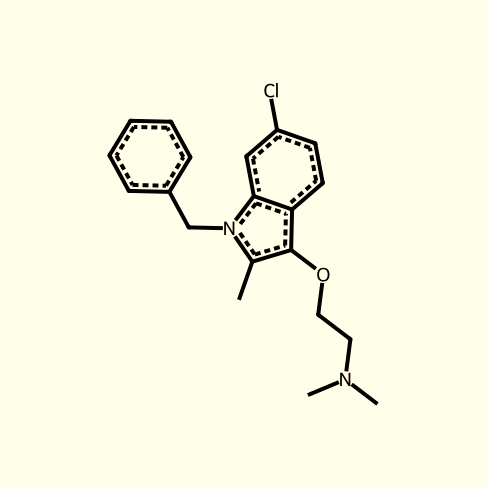 Cc1c(OCCN(C)C)c2ccc(Cl)cc2n1Cc1ccccc1